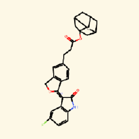 O=C(CCc1ccc2c(c1)CO/C2=C1/C(=O)Nc2ccc(F)cc21)OC12CC3CC(CC(C3)C1)C2